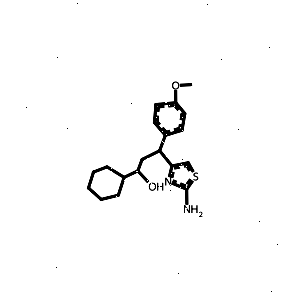 COc1ccc(C(CC(O)C2CCCCC2)c2csc(N)n2)cc1